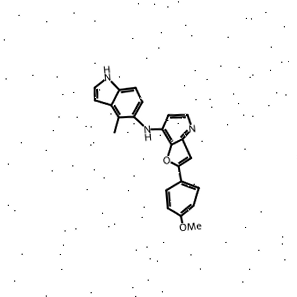 COc1ccc(-c2cc3nccc(Nc4ccc5[nH]ccc5c4C)c3o2)cc1